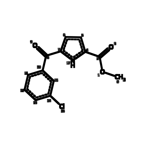 COC(=O)c1ccc(C(=O)c2cccc(Cl)c2)[nH]1